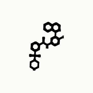 O=C(Nc1ccc(I)c(-c2nccc3ccccc23)c1)c1cccc(S(=O)(=O)N2CCOCC2)c1